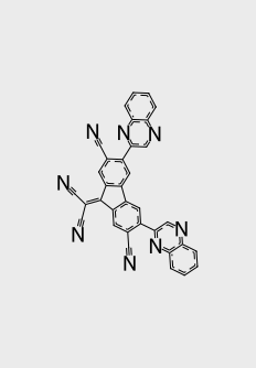 N#CC(C#N)=C1c2cc(C#N)c(-c3cnc4ccccc4n3)cc2-c2cc(-c3cnc4ccccc4n3)c(C#N)cc21